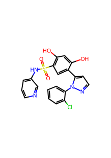 O=S(=O)(Nc1cccnc1)c1cc(-c2ccnn2-c2ccccc2Cl)c(O)cc1O